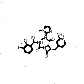 CCC(NC(=O)N1C(=O)[C@H](Cc2ccnc(N)c2)[C@H]1C(=O)N(C)c1nccn1C)c1cccc(F)c1Cl